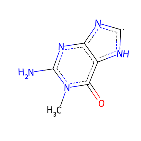 Cn1c(N)nc2n[c][nH]c2c1=O